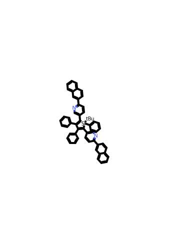 CC(C)(C)[Si]1(c2ccccc2)C(c2ccc(-c3ccc4ccccc4c3)nc2)=C(c2ccccc2)C(c2ccccc2)=C1c1ccc(-c2ccc3ccccc3c2)nc1